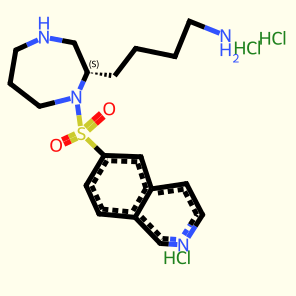 Cl.Cl.Cl.NCCCC[C@H]1CNCCCN1S(=O)(=O)c1ccc2cnccc2c1